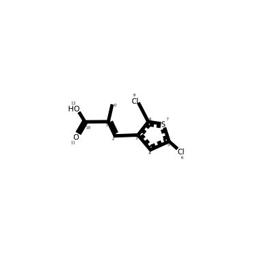 CC(=Cc1cc(Cl)sc1Cl)C(=O)O